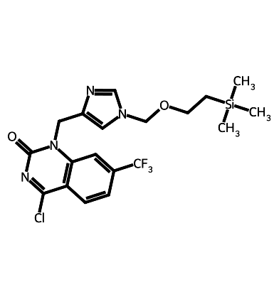 C[Si](C)(C)CCOCn1cnc(Cn2c(=O)nc(Cl)c3ccc(C(F)(F)F)cc32)c1